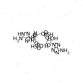 Nc1ncnc2c1ncn2[C@@H]1O[C@@H]2CO[P@@](=O)(S)O[C@@H]3[C@@H](F)[C@@H](CO[P@@](=O)(S)O[C@H]2[C@H]1O)O[C@H]3n1cnc2c1N=CNC2N